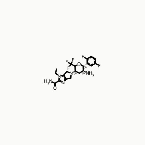 CCn1c(C(N)=O)nc2c1CN([C@@H]1C[C@H](N)[C@@H](c3cc(F)ccc3F)OC1C(F)(F)F)C2